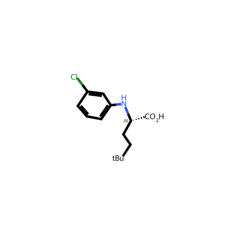 CC(C)(C)CC[C@H](Nc1cccc(Cl)c1)C(=O)O